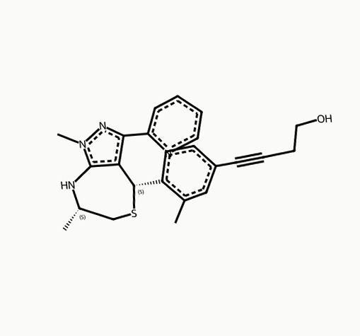 Cc1cc(C#CCCO)ccc1[C@@H]1SC[C@H](C)Nc2c1c(-c1ccccn1)nn2C